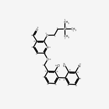 C[Si](C)(C)CCOc1nc(OCc2cccc(-c3cccc(Br)c3Cl)c2Cl)ccc1C=O